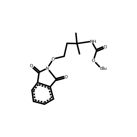 CC(C)(CCON1C(=O)c2ccccc2C1=O)NC(=O)OC(C)(C)C